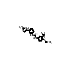 CCOc1ccc(NC(=O)Nc2cccc(-c3cnc(N)[nH]3)c2)cc1C(F)(F)F